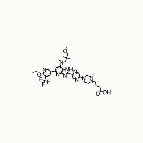 CCOc1ncc(-c2cc(N(C)CC(C)(C)COC)c3[nH]c(-c4cnc(N5CCN(CCCC(=O)O)[C@@H](C)C5)cn4)nc3n2)cc1C(F)(F)F